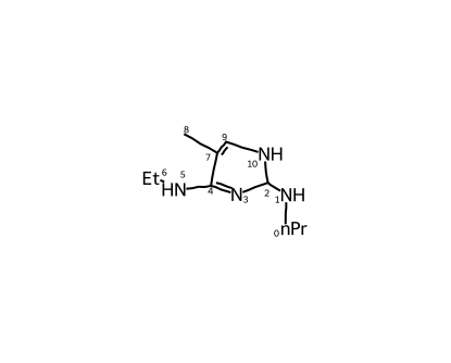 CCCNC1N=C(NCC)C(C)=CN1